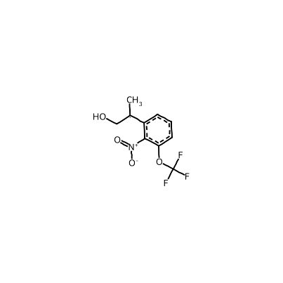 C[C](CO)c1cccc(OC(F)(F)F)c1[N+](=O)[O-]